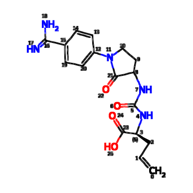 C=CC[C@H](NC(=O)NC1CCN(c2ccc(C(=N)N)cc2)C1=O)C(=O)O